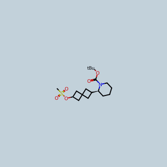 CC(C)(C)OC(=O)N1CCCC[C@H]1C1CC2(CC(OS(C)(=O)=O)C2)C1